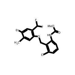 CCc1cc(C(F)F)c(OCc2c(Cl)cccc2NC(=O)OC)cc1C